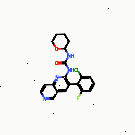 O=C(Nc1nc2ccncc2cc1-c1c(F)cccc1Cl)NC1CCCCO1